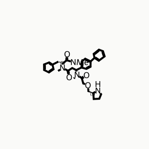 CNC(=O)[C@@H](Cc1ccccc1)N(C)C(=O)CC(c1ccc(-c2ccccc2)cc1)N(C)C(=O)COC[C@@H]1CCCN1